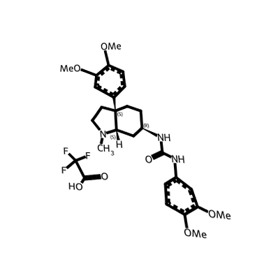 COc1ccc(NC(=O)N[C@@H]2CC[C@@]3(c4ccc(OC)c(OC)c4)CCN(C)[C@H]3C2)cc1OC.O=C(O)C(F)(F)F